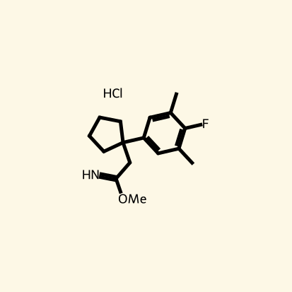 COC(=N)CC1(c2cc(C)c(F)c(C)c2)CCCC1.Cl